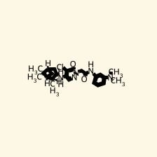 C[C@@H]1[C@H]2C[C@@H](C[C@H]1Nc1cnn(CC(=O)Nc3cccc(N(C)C)c3)c(=O)c1Cl)C2(C)C